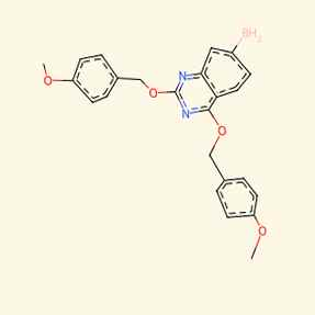 Bc1ccc2c(OCc3ccc(OC)cc3)nc(OCc3ccc(OC)cc3)nc2c1